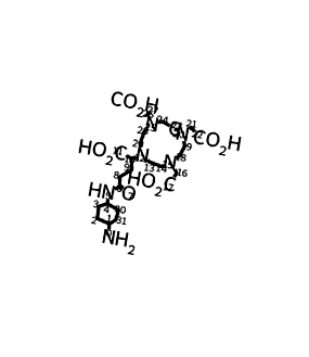 NC1CCC(NC(=O)CCC(C(=O)O)N2CCN(CC(=O)O)CCN(CC(=O)O)CCN(CC(=O)O)CC2)CC1